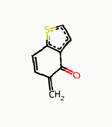 C=C1C=Cc2sccc2C1=O